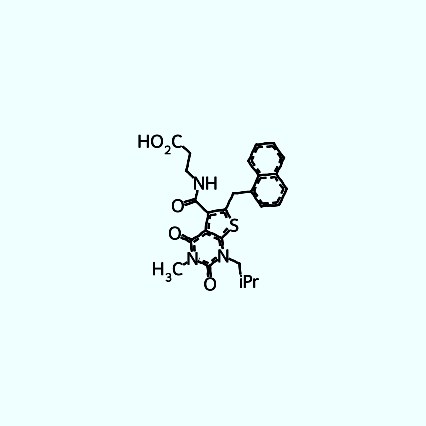 CC(C)Cn1c(=O)n(C)c(=O)c2c(C(=O)NCCC(=O)O)c(Cc3cccc4ccccc34)sc21